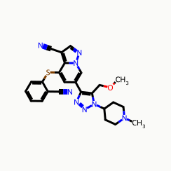 COCc1c(-c2cc(Sc3ccccc3C#N)c3c(C#N)cnn3c2)nnn1C1CCN(C)CC1